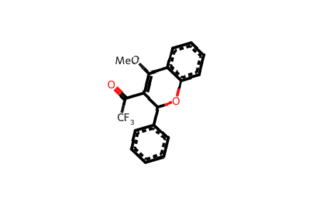 COC1=C(C(=O)C(F)(F)F)C(c2ccccc2)Oc2ccccc21